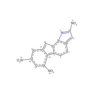 O=[N+]([O-])C1=Nc2c3c(ccc2=C1)=c1c([N+](=O)[O-])cc([N+](=O)[O-])cc1=C3